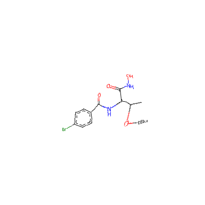 CC(OC(C)(C)C)C(NC(=O)c1ccc(Br)cc1)C(=O)NO